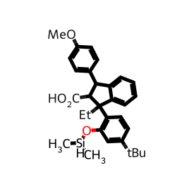 CCC1(c2ccc(C(C)(C)C)cc2O[SiH](C)C)c2ccccc2C(c2ccc(OC)cc2)C1C(=O)O